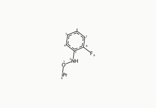 CC(C)ONc1ccccc1F